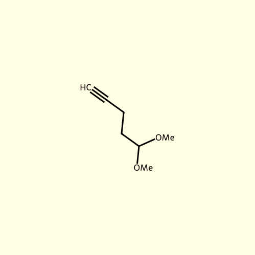 C#CCCC(OC)OC